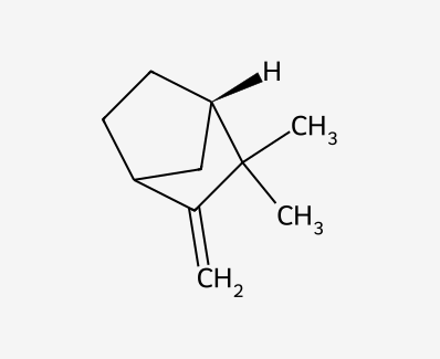 C=C1C2CC[C@@H](C2)C1(C)C